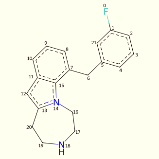 Fc1cccc(Cc2cccc3cc4n(c23)CCNCC4)c1